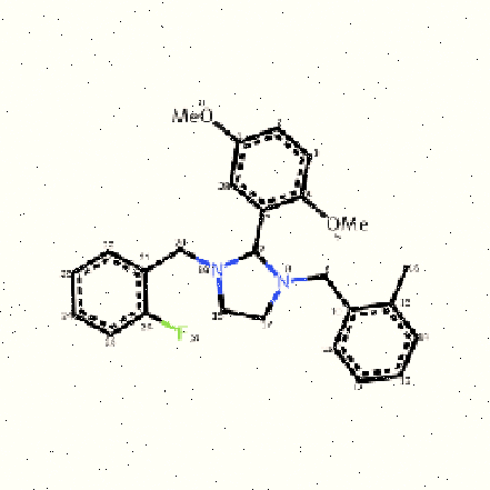 COc1ccc(OC)c(C2N(Cc3ccccc3C)CCN2Cc2ccccc2F)c1